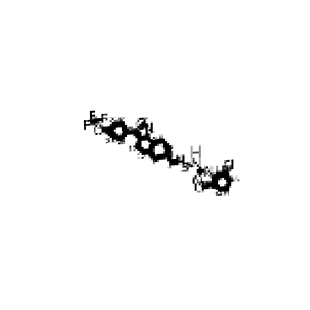 O=C(NS/N=C/c1ccc2c(c1)CCc1c-2noc1-c1ccc(OC(F)(F)F)cc1)Nc1c(Cl)cccc1Cl